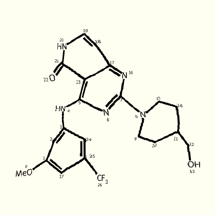 COc1cc(Nc2nc(N3CCC(CO)CC3)nc3cc[nH]c(=O)c23)cc(C(F)(F)F)c1